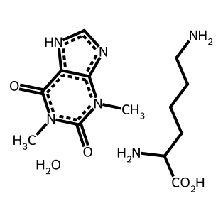 Cn1c(=O)c2[nH]cnc2n(C)c1=O.NCCCCC(N)C(=O)O.O